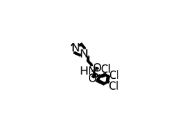 CN1CCN(CCCNS(=O)(=O)c2ccc(Cl)c(Cl)c2Cl)CC1